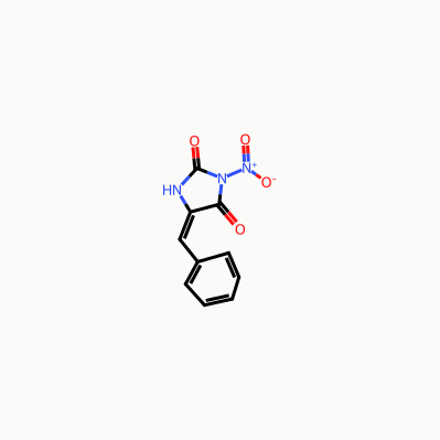 O=C1NC(=Cc2ccccc2)C(=O)N1[N+](=O)[O-]